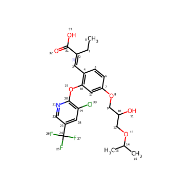 CC/C(=C\c1ccc(OCC(O)COC(C)C)cc1Oc1ncc(C(F)(F)F)cc1Cl)C(=O)O